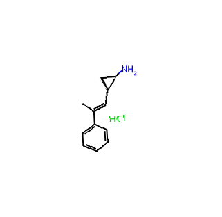 C/C(=C\C1CC1N)c1ccccc1.Cl